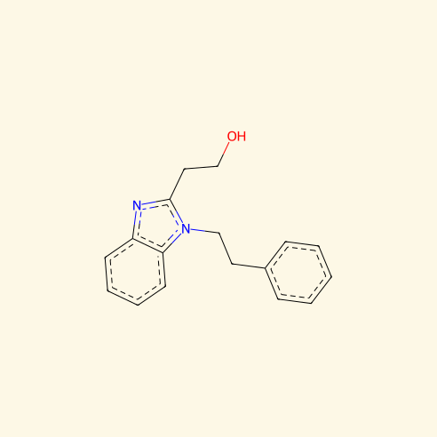 OCCc1nc2ccccc2n1CCc1ccccc1